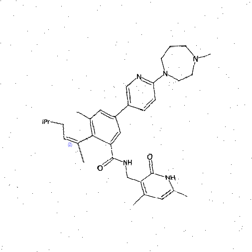 C/C(=C/CC(C)C)c1c(C)cc(-c2ccc(N3CCCN(C)CC3)nc2)cc1C(=O)NCc1c(C)cc(C)[nH]c1=O